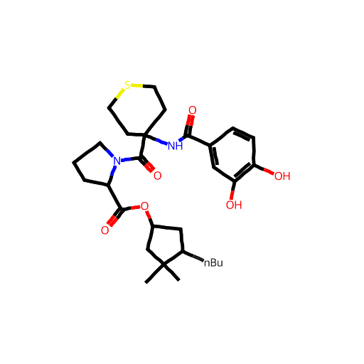 CCCCC1CC(OC(=O)C2CCCN2C(=O)C2(NC(=O)c3ccc(O)c(O)c3)CCSCC2)CC1(C)C